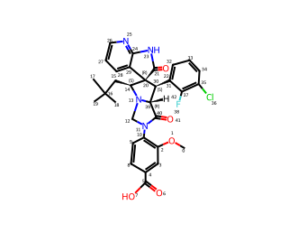 COc1cc(C(=O)O)ccc1N1CN2[C@@H](CC(C)(C)C)[C@@]3(C(=O)Nc4ncccc43)[C@@H](c3cccc(Cl)c3F)[C@@H]2C1=O